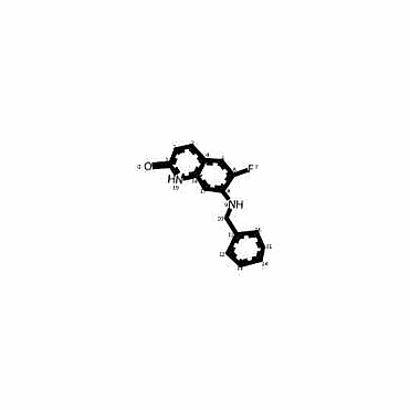 O=c1ccc2cc(F)c(NCc3ccccc3)cc2[nH]1